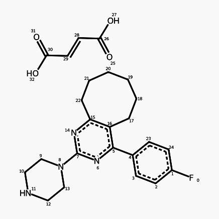 Fc1ccc(-c2nc(N3CCNCC3)nc3c2CCCCCC3)cc1.O=C(O)C=CC(=O)O